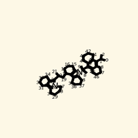 CC(C)c1c2c(c(C(C)(C)n3c4c(c5c3CCCC5CC(C)c3c5c(c6n3CCCC6)CCCC5)CCCC4)c3c1CCCC3)CCCC2